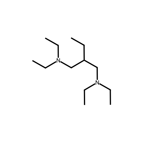 CCC(CN(CC)CC)CN(CC)CC